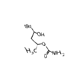 C[C@H](CC(O)C(C)(C)C)OC(N)=O